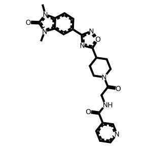 Cn1c(=O)n(C)c2cc(-c3noc(C4CCN(C(=O)CNC(=O)c5cccnc5)CC4)n3)ccc21